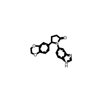 O=C1CCC(c2ccc3c(c2)OCCO3)N1c1ccc2[nH]cnc2c1